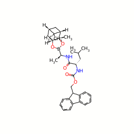 CC(C)C[C@H](NC(=O)OCC1c2ccccc2-c2ccccc21)C(=O)N[C@@H](C)B1O[C@@H]2C[C@@H]3C[C@@H](C3(C)C)[C@]2(C)O1